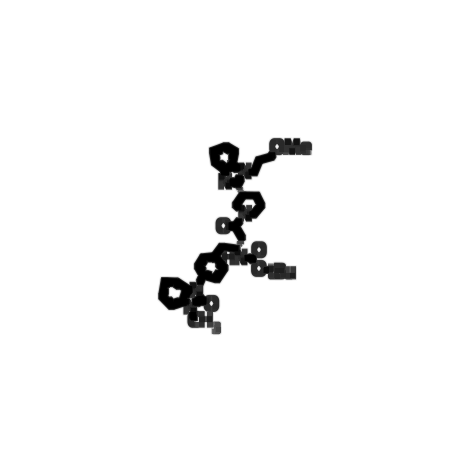 COCCCn1c([C@@H]2CCCN(C(=O)C[C@@H](Cc3ccc(-n4c(=O)n(C)c5ccccc54)cc3)NC(=O)OC(C)(C)C)C2)nc2ccccc21